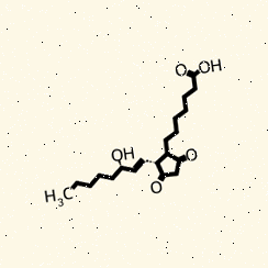 CCCCC[C@H](O)/C=C/[C@H]1C(=O)CC(=O)C1CCCCCCC(=O)O